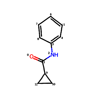 O=C(Nc1c[c]ccc1)C1CC1